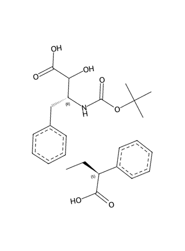 CC(C)(C)OC(=O)N[C@H](Cc1ccccc1)C(O)C(=O)O.CC[C@H](C(=O)O)c1ccccc1